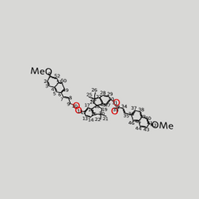 COc1ccc2cc(/C=C/COOc3ccc4c(c3)C3(CC4(C)C)CC(C)(C)c4ccc(OC(=O)/C=C/c5ccc6cc(OC)ccc6c5)cc43)ccc2c1